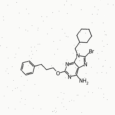 Nc1nc(OCCCc2ccccc2)nc2c1nc(Br)n2CC1CCCCC1